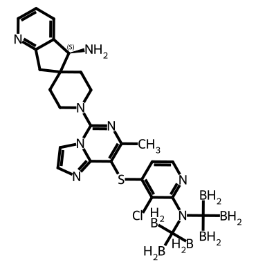 BC(B)(B)N(c1nccc(Sc2c(C)nc(N3CCC4(CC3)Cc3ncccc3[C@H]4N)n3ccnc23)c1Cl)C(B)(B)B